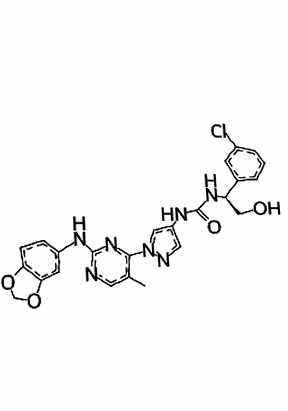 Cc1cnc(Nc2ccc3c(c2)OCO3)nc1-n1cc(NC(=O)N[C@H](CO)c2cccc(Cl)c2)cn1